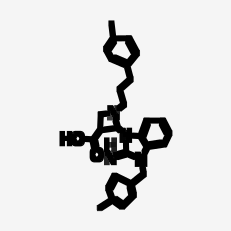 Cc1ccc(CCCN2CC(C(=O)O)C2n2c(=N)n(Cc3ccc(C)cc3)c3ccccc32)cc1